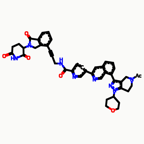 CC(=O)N1CCc2c(c(-c3cccc4cc(-c5ccc(C(=O)NCC#Cc6cccc7c6CN(C6CCC(=O)NC6=O)C7=O)nc5)ncc34)nn2C2CCOCC2)C1